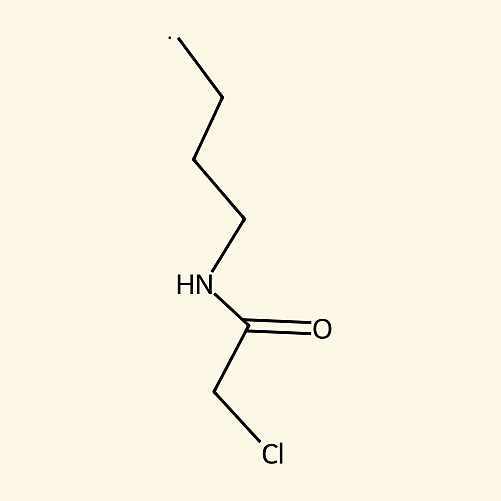 [CH2]CCCNC(=O)CCl